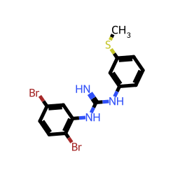 CSc1cccc(NC(=N)Nc2cc(Br)ccc2Br)c1